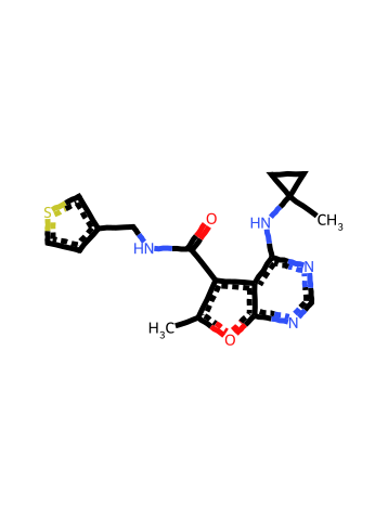 Cc1oc2ncnc(NC3(C)CC3)c2c1C(=O)NCc1ccsc1